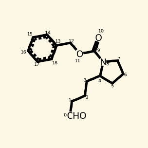 O=CCCCC1CCCN1C(=O)OCc1ccccc1